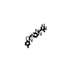 Cc1ccc2oc(Cn3ccc4nc(-c5cn(C)nc5C)nc-4c3)nc2c1